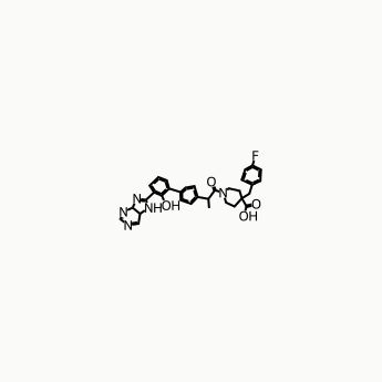 CC(C(=O)N1CCC(Cc2ccc(F)cc2)(C(=O)O)CC1)c1ccc(-c2cccc(C3=NC4N=CN=CC4N3)c2O)cc1